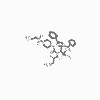 CCCS(=O)(=O)N1CCN(OC(=O)N(C[C@@H](F)CN)[C@@H](c2nc(-c3ccccc3)cn2Cc2ccccc2)C(C)(C)C)CC1